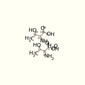 CC(O)C(N)C(=O)O.CC(O)C(N)C(=O)O.O